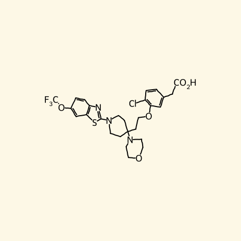 O=C(O)Cc1ccc(Cl)c(OCCC2(N3CCOCC3)CCN(c3nc4ccc(OC(F)(F)F)cc4s3)CC2)c1